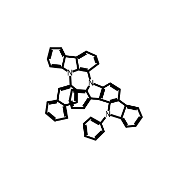 c1ccc(-n2c3ccccc3c3ccc4c(c5ccccc5n4-c4cccc5c6ccccc6n(-c6ccc7ccccc7c6)c45)c32)cc1